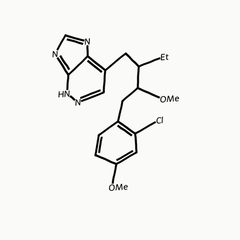 CCC(Cc1cn[nH]c2ncnc1-2)C(Cc1ccc(OC)cc1Cl)OC